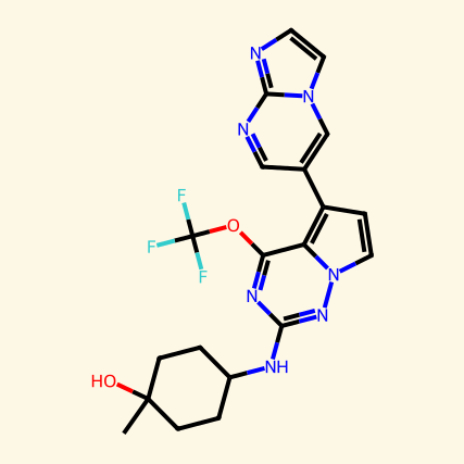 CC1(O)CCC(Nc2nc(OC(F)(F)F)c3c(-c4cnc5nccn5c4)ccn3n2)CC1